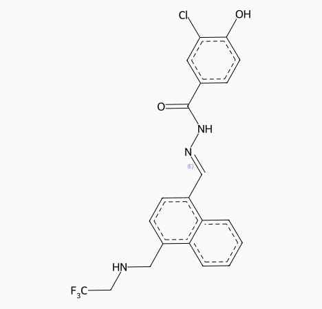 O=C(N/N=C/c1ccc(CNCC(F)(F)F)c2ccccc12)c1ccc(O)c(Cl)c1